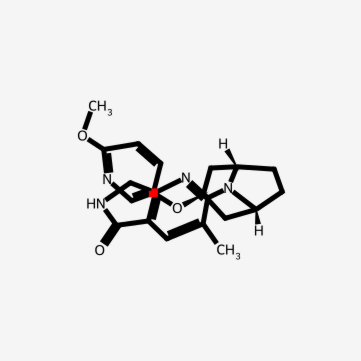 COc1ccc(O[C@@H]2C[C@H]3CC[C@@H](C2)N3c2nc3c(cc2C)C(=O)NC3)cn1